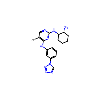 CC(=O)c1cnc(N[C@@H]2CCCC[C@@H]2N)nc1Nc1cccc(-n2cnnn2)c1